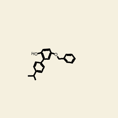 CC(C)c1ccc(-c2cc(OCc3ccccc3)ccc2O)cc1